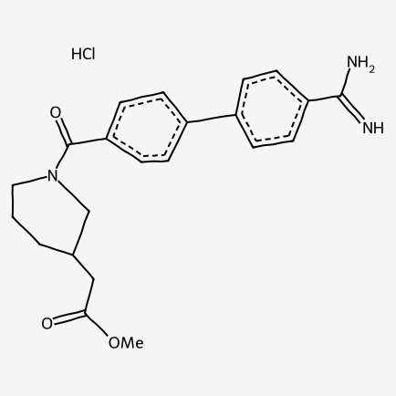 COC(=O)CC1CCCN(C(=O)c2ccc(-c3ccc(C(=N)N)cc3)cc2)C1.Cl